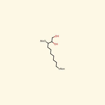 CCCCCCCCCCCCCCCCC(OC)C(O)CO